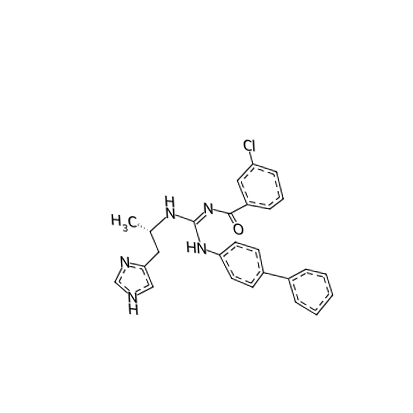 C[C@@H](Cc1c[nH]cn1)N/C(=N/C(=O)c1cccc(Cl)c1)Nc1ccc(-c2ccccc2)cc1